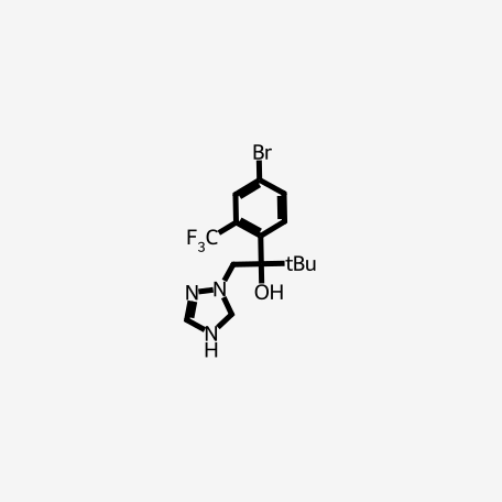 CC(C)(C)C(O)(CN1CNC=N1)c1ccc(Br)cc1C(F)(F)F